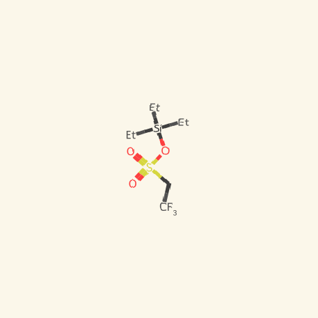 CC[Si](CC)(CC)OS(=O)(=O)CC(F)(F)F